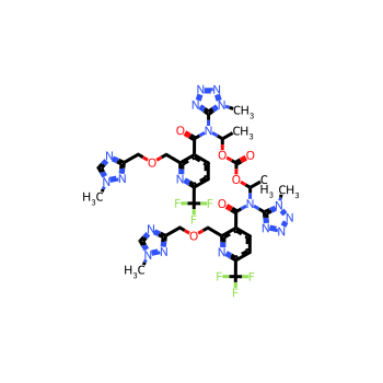 CC(OC(=O)OC(C)N(C(=O)c1ccc(C(F)(F)F)nc1COCc1ncn(C)n1)c1nnnn1C)N(C(=O)c1ccc(C(F)(F)F)nc1COCc1ncn(C)n1)c1nnnn1C